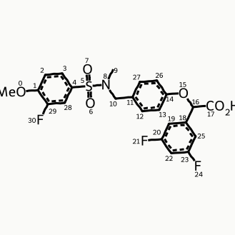 COc1ccc(S(=O)(=O)N(C)Cc2ccc(OC(C(=O)O)c3cc(F)cc(F)c3)cc2)cc1F